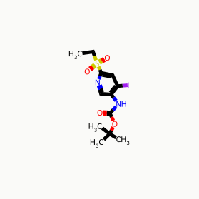 CCS(=O)(=O)c1cc(I)c(NC(=O)OC(C)(C)C)cn1